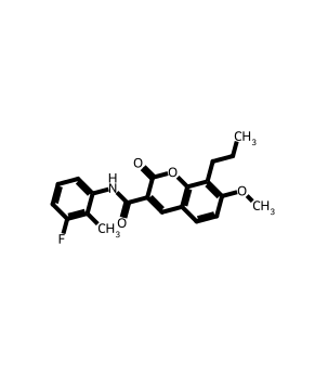 CCCc1c(OC)ccc2cc(C(=O)Nc3cccc(F)c3C)c(=O)oc12